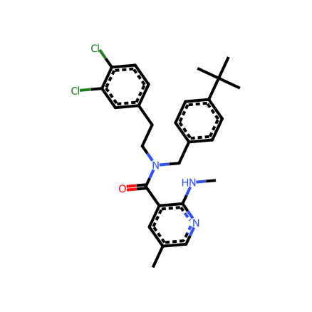 CNc1ncc(C)cc1C(=O)N(CCc1ccc(Cl)c(Cl)c1)Cc1ccc(C(C)(C)C)cc1